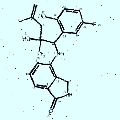 C=C(C)CC(O)(C(Nc1cccc2c1CNC2=O)c1cc(F)ccc1O)C(F)(F)F